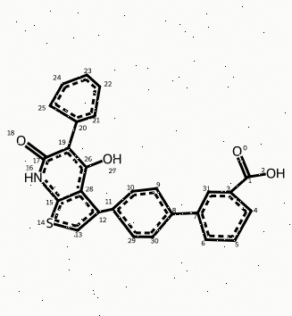 O=C(O)c1cccc(-c2ccc(-c3csc4[nH]c(=O)c(-c5ccccc5)c(O)c34)cc2)c1